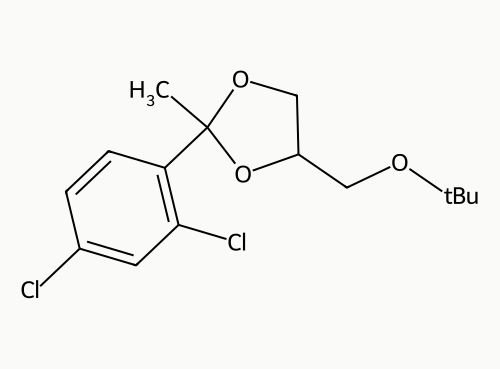 CC(C)(C)OCC1COC(C)(c2ccc(Cl)cc2Cl)O1